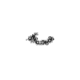 Cc1ccc(-n2nc(C(C)(C)C)cc2NC(=O)Nc2ccc(CC3CCN(CC(=O)c4ccc5c(c4)OCO5)CC3)cc2)cc1